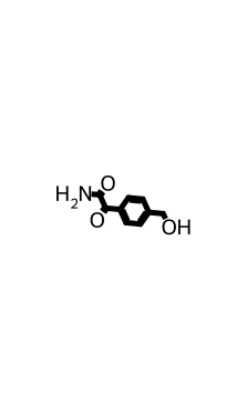 NC(=O)C(=O)c1ccc(CO)cc1